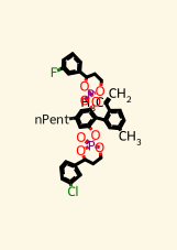 C=C(C)c1ccc(C)cc1-c1c(OP2(=O)OCCC(c3cccc(F)c3)O2)cc(CCCCC)cc1OP1(=O)OCCC(c2cccc(Cl)c2)O1